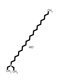 CCCCCCCCCCCCCCCCCCCCCN(CC)CC.Cl